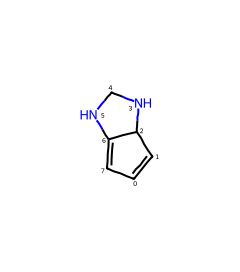 C1=CC2NCNC2=C1